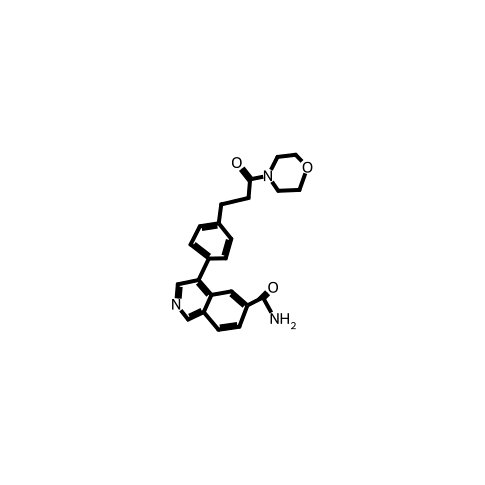 NC(=O)c1ccc2cncc(-c3ccc(CCC(=O)N4CCOCC4)cc3)c2c1